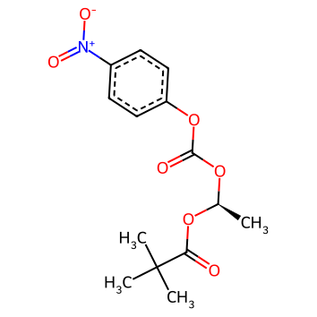 C[C@H](OC(=O)Oc1ccc([N+](=O)[O-])cc1)OC(=O)C(C)(C)C